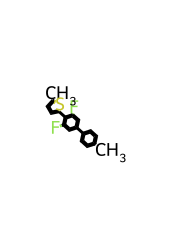 Cc1ccc(-c2cc(F)c(-c3ccc(C)s3)c(F)c2)cc1